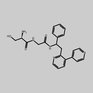 N[C@H](CO)C(=O)NCC(=O)NC(Cc1ncccc1-c1ccncc1)c1ccccc1